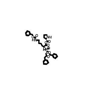 O=C(NCCCCC(O[PH](=O)OCC(Cc1ccccc1)OC(=O)c1ccccc1)C(=O)OC(=O)[C@@H]1CCCN1)OCc1ccccc1